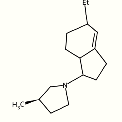 CCC1C=C2CCC(N3CC[C@@H](C)C3)C2CC1